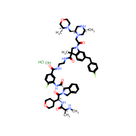 CN[C@@H](C)C(=O)N[C@H](C(=O)N1Cc2ccccc2[C@H]1C(=O)Nc1cc(C(=O)NCCNC(=O)C2(C)CN(C(=O)CN3C[C@@H](C)NC[C@@H]3CN3CCOC[C@H]3C)c3cc(Cc4ccc(F)cc4)ccc32)ccc1F)C1CCOCC1.Cl.Cl